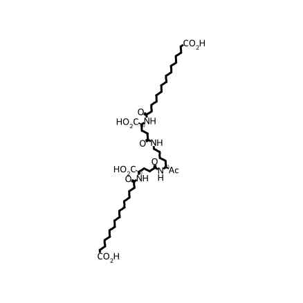 CC(=O)[C@H](CCCCNC(=O)CC[C@H](NC(=O)CCCCCCCCCCCCCCC(=O)O)C(=O)O)NC(=O)CC[C@H](NC(=O)CCCCCCCCCCCCCCC(=O)O)C(=O)O